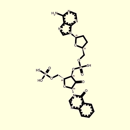 Nc1ncnc2c1ncn2[C@H]1CC[C@@H](COP(=O)(S)O[C@H]2C(=O)[C@H](n3cnc4ccccc4c3=O)O[C@@H]2COP(=O)(O)S)O1